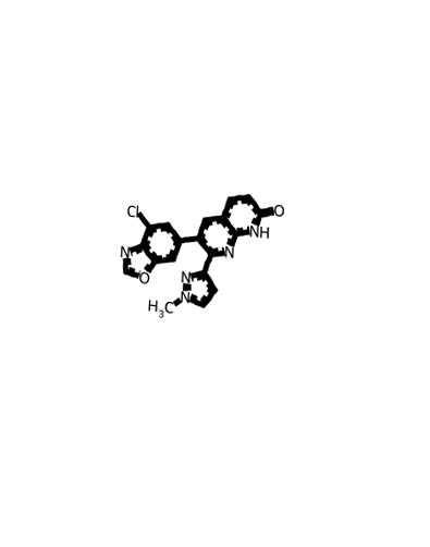 Cn1ccc(-c2nc3[nH]c(=O)ccc3cc2-c2cc(Cl)c3ncoc3c2)n1